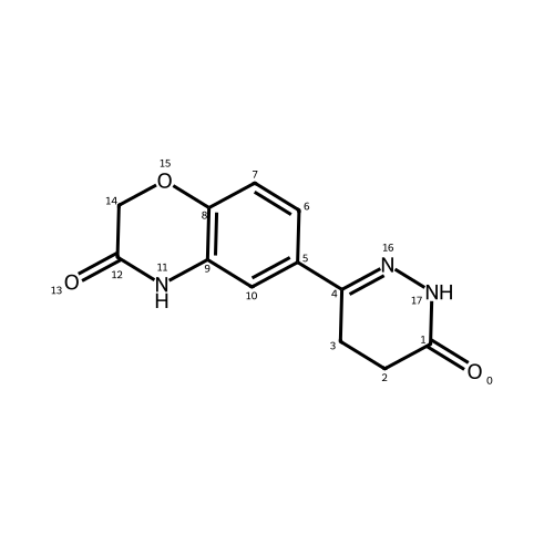 O=C1CCC(c2ccc3c(c2)NC(=O)CO3)=NN1